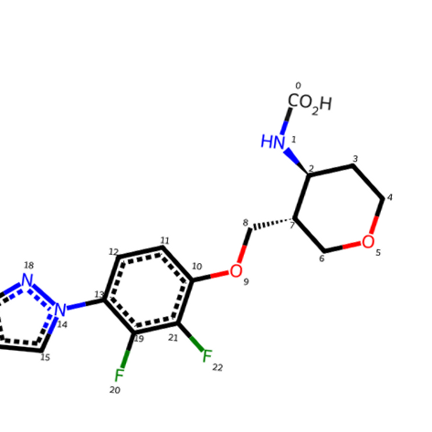 O=C(O)N[C@H]1CCOC[C@@H]1COc1ccc(-n2cccn2)c(F)c1F